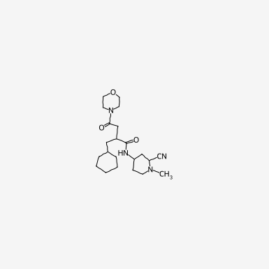 CN1CCC(NC(=O)C(CC(=O)N2CCOCC2)CC2CCCCC2)CC1C#N